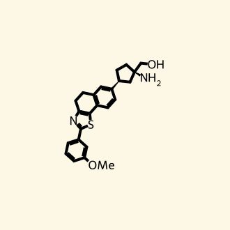 COc1cccc(-c2nc3c(s2)-c2ccc([C@H]4CC[C@](N)(CO)C4)cc2CC3)c1